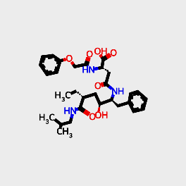 CC[C@H](C[C@H](O)[C@H](Cc1ccccc1)NC(=O)C[C@H](NC(=O)COc1ccccc1)C(=O)O)C(=O)NCC(C)C